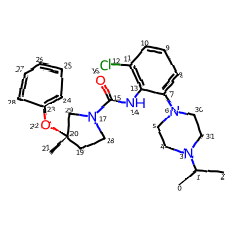 CC(C)N1CCN(c2cccc(Cl)c2NC(=O)N2CC[C@](C)(Oc3ccccc3)C2)CC1